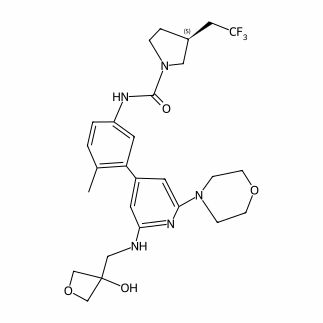 Cc1ccc(NC(=O)N2CC[C@@H](CC(F)(F)F)C2)cc1-c1cc(NCC2(O)COC2)nc(N2CCOCC2)c1